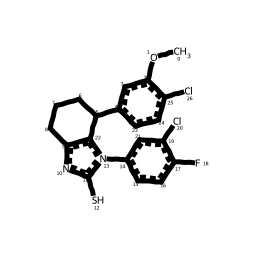 COc1cc(C2CCCc3nc(S)n(-c4ccc(F)c(Cl)c4)c32)ccc1Cl